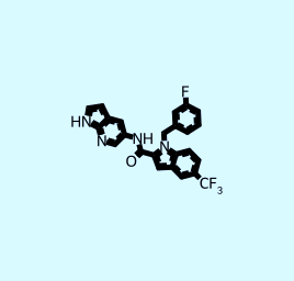 O=C(Nc1cnc2[nH]ccc2c1)c1cc2cc(C(F)(F)F)ccc2n1Cc1cccc(F)c1